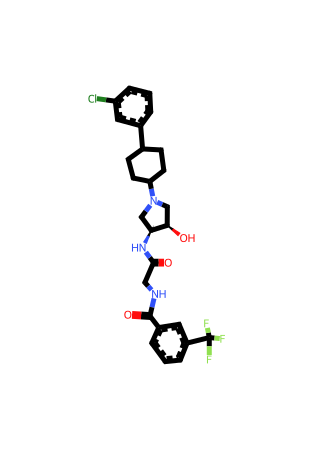 O=C(CNC(=O)c1cccc(C(F)(F)F)c1)N[C@H]1CN(C2CCC(c3cccc(Cl)c3)CC2)C[C@H]1O